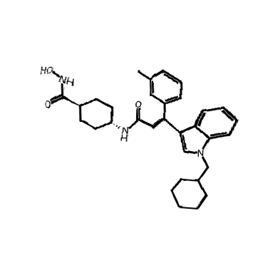 Cc1cccc(C(CC(=O)N[C@H]2CC[C@H](C(=O)NO)CC2)c2cn(CC3CCCCC3)c3ccccc23)c1